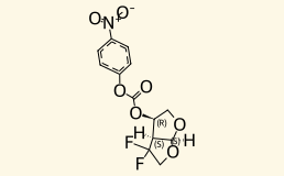 O=C(Oc1ccc([N+](=O)[O-])cc1)O[C@H]1CO[C@H]2OCC(F)(F)[C@H]21